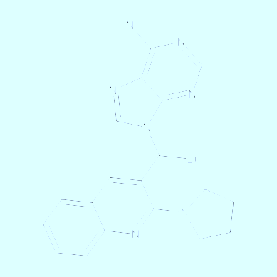 CCC(c1cc2ccccc2nc1N1CCCC1)n1cnc2c(N)ncnc21